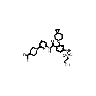 O=C(Nc1cccc(N2CCC(=C(F)F)CC2)n1)c1ccc(NS(=O)(=O)CCO)cc1N1CCC2(CC1)CC2